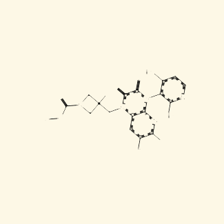 CC(C)c1ccnc(C(C)C)c1-n1c(=O)c(=O)n(CC2(F)CN(C(=O)OC(C)(C)C)C2)c2cc(Cl)c(Cl)nc21